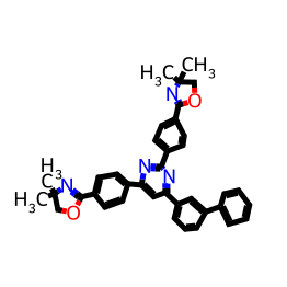 CC1(C)COC(c2ccc(-c3cc(-c4cccc(-c5ccccc5)c4)nc(-c4ccc(C5=NC(C)(C)CO5)cc4)n3)cc2)=N1